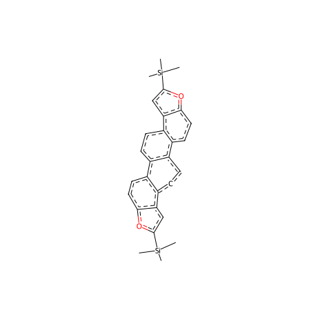 C[Si](C)(C)c1cc2c(ccc3c2ccc2c4ccc5oc([Si](C)(C)C)cc5c4ccc32)o1